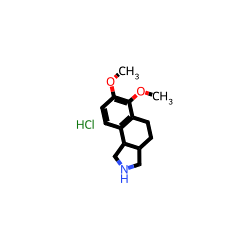 COc1ccc2c(c1OC)CCC1CNCC21.Cl